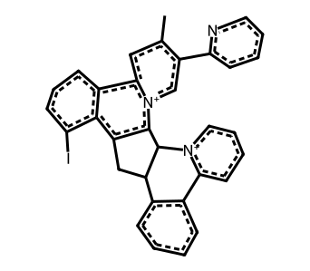 Cc1cc2c3cccc(I)c3c3c([n+]2cc1-c1ccccn1)C1C(C3)c2ccccc2-c2cccc[n+]21